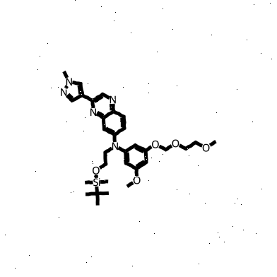 COCCOCOc1cc(OC)cc(N(CCO[Si](C)(C)C(C)(C)C)c2ccc3ncc(-c4cnn(C)c4)nc3c2)c1